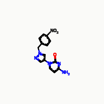 Nc1ccn(-c2cnn(Cc3ccc([N+](=O)[O-])cc3)c2)c(=O)n1